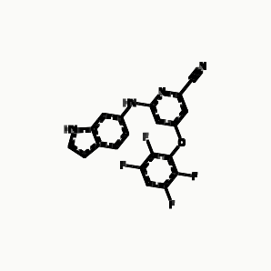 N#Cc1cc(Oc2c(F)c(F)cc(F)c2F)cc(Nc2ccc3cc[nH]c3c2)n1